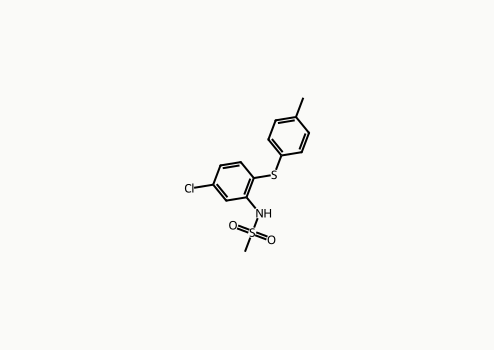 Cc1ccc(Sc2ccc(Cl)cc2NS(C)(=O)=O)cc1